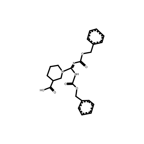 O=C(/N=C(\NC(=O)OCc1ccccc1)N1CCCC(C(=O)O)C1)OCc1ccccc1